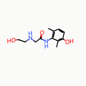 Cc1ccc(O)c(C)c1NC(=O)CNCCO